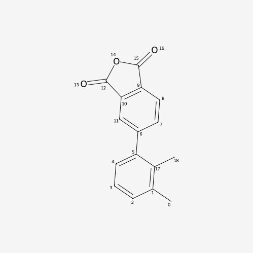 Cc1cccc(-c2ccc3c(c2)C(=O)OC3=O)c1C